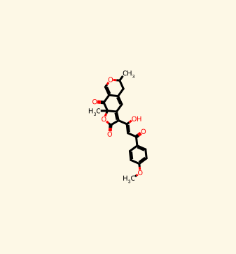 COc1ccc(C(=O)/C=C(\O)C2=C3C=C4CC(C)OC=C4C(=O)C3(C)OC2=O)cc1